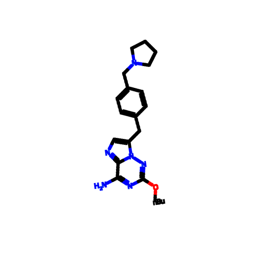 CCCCOc1nc(N)c2ncc(Cc3ccc(CN4CCCC4)cc3)n2n1